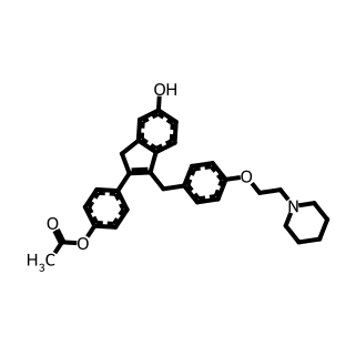 CC(=O)Oc1ccc(C2=C(Cc3ccc(OCCN4CCCCC4)cc3)c3ccc(O)cc3C2)cc1